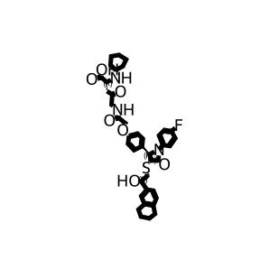 O=C(CNC(=O)COc1ccc([C@@H]2[C@@H](SC[C@H](O)c3ccc4c(c3)CCCC4)C(=O)N2c2ccc(F)cc2)cc1)C[C@@H](NC1CCCCC1)C(=O)O